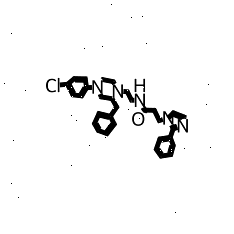 O=C(CCn1ccnc1-c1ccccc1)NCCN1CCN(c2ccc(Cl)cc2)CC1Cc1ccccc1